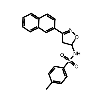 Cc1ccc(S(=O)(=O)NC2CC(c3ccc4ccccc4c3)=NO2)cc1